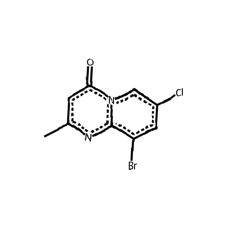 Cc1cc(=O)n2cc(Cl)cc(Br)c2n1